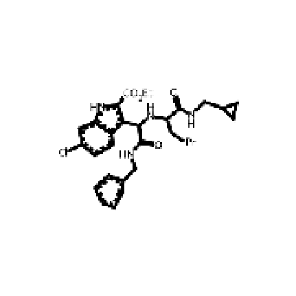 CCOC(=O)c1[nH]c2cc(Cl)ccc2c1C(NC(CC(C)C)C(=O)NCC1CC1)C(=O)NCc1ccccc1